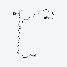 CCCCC/C=C\C/C=C\CCCCCCCCOC[C@H](CCN(CC)CC)OCCCCCCCC/C=C\C/C=C\CCCCC